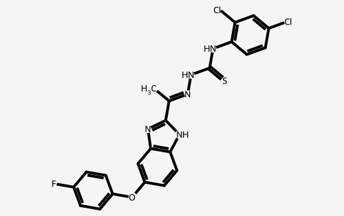 C/C(=N\NC(=S)Nc1ccc(Cl)cc1Cl)c1nc2cc(Oc3ccc(F)cc3)ccc2[nH]1